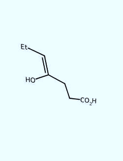 CC/C=C(\O)CCC(=O)O